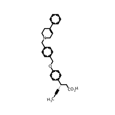 CC#C[C@@H](CC(=O)O)c1ccc(OCc2ccc(CN3CC=C(c4ccccc4)CC3)cc2)cc1